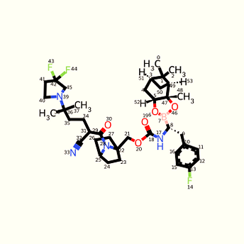 CC1(C)[C@@H]2C[C@H]3OB([C@H](Cc4ccc(F)cc4)NC(=O)OCC45CCC(CC4)N5C(=O)C(C#N)CCC(C)(C)N4CCC(F)(F)C4)O[C@@]3(C)[C@H]1C2